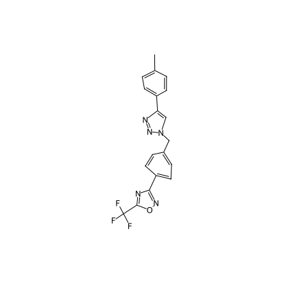 Cc1ccc(-c2cn(Cc3ccc(-c4noc(C(F)(F)F)n4)cc3)nn2)cc1